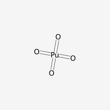 [O]=[Pu](=[O])(=[O])=[O]